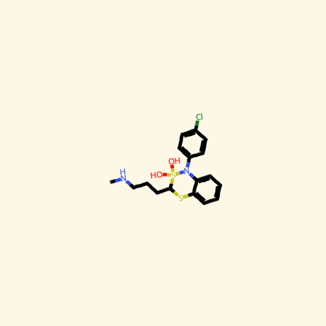 CNCCCC1Sc2ccccc2N(c2ccc(Cl)cc2)S1(O)O